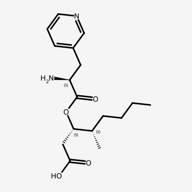 CCCC[C@H](C)[C@H](CC(=O)O)OC(=O)[C@@H](N)Cc1cccnc1